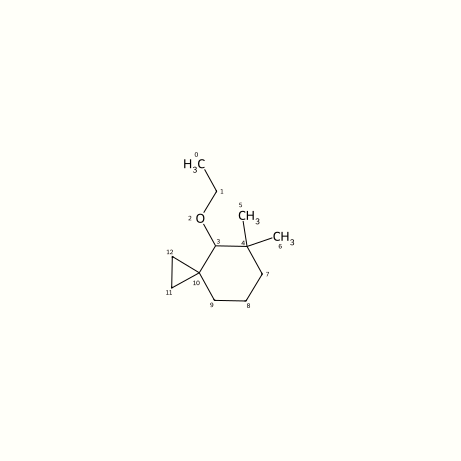 CCOC1C(C)(C)CCCC12CC2